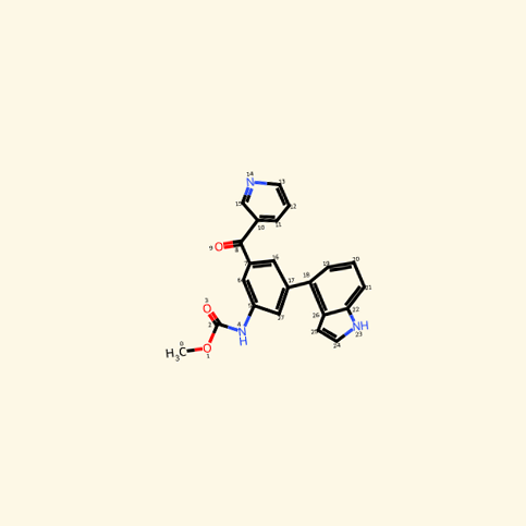 COC(=O)Nc1cc(C(=O)c2cccnc2)cc(-c2cccc3[nH]ccc23)c1